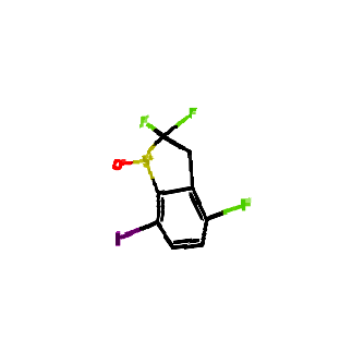 [O-][S+]1c2c(I)ccc(F)c2CC1(F)F